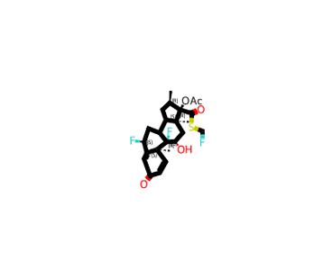 CC(=O)O[C@]1(C(=O)SCF)[C@H](C)CC2C3C[C@H](F)C4=CC(=O)C=C[C@]4(C)[C@@]3(F)[C@@H](O)C[C@@]21C